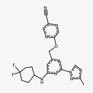 Cc1ccn(-c2cc(COc3ccc(C#N)cn3)cc(NC3CCC(F)(F)CC3)n2)n1